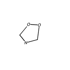 C1[N]COO1